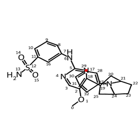 COc1cnc(Nc2cccc(S(N)(=O)=O)c2)nc1C1CC2CCC(C1)N2c1ccccc1